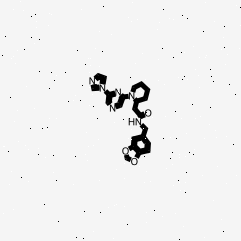 O=C(CC1CCCCN1c1cncc(-n2ccnc2)n1)NCc1ccc2c(c1)OCO2